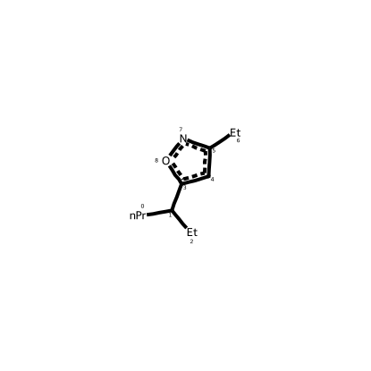 CCCC(CC)c1cc(CC)no1